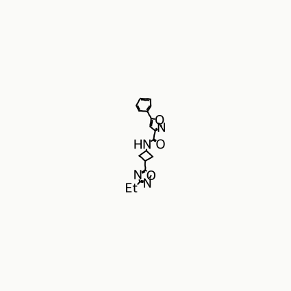 CCc1noc(C2CC(NC(=O)c3cc(-c4ccccc4)on3)C2)n1